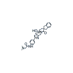 CN(C)CC(=O)Nc1ccc(-c2csc(CNC(=O)C3(CC(=O)O)Cc4ccccc4C3)n2)cc1